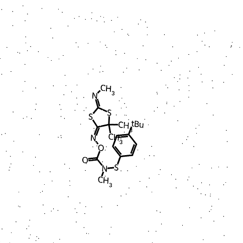 CN=C1SC(=NOC(=O)N(C)Sc2ccc(C(C)(C)C)cc2)C(C)(C)S1